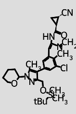 C=N/C(=C\c1cc(-c2c(CO[Si](C)(C)C(C)(C)C)nn(C3CCCCO3)c2C)cc(Cl)c1C)NC(=O)[C@H]1C[C@@H]1C#N